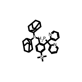 C[Si](C)(C)c1ccc(CP(C2C3CC4CC(C3)CC2C4)C2C3CC4CC(C3)CC2C4)c(C(P)(c2ccccn2)c2ccccn2)c1